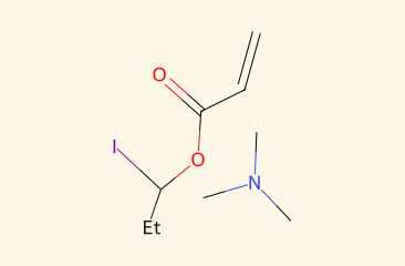 C=CC(=O)OC(I)CC.CN(C)C